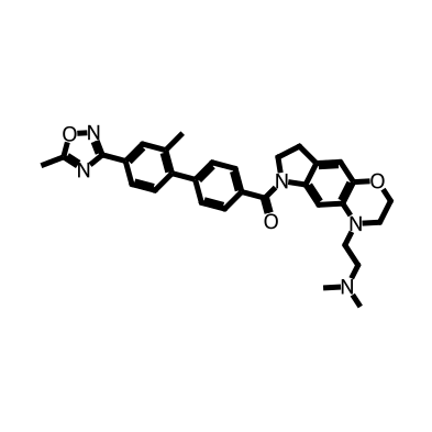 Cc1nc(-c2ccc(-c3ccc(C(=O)N4CCc5cc6c(cc54)N(CCN(C)C)CCO6)cc3)c(C)c2)no1